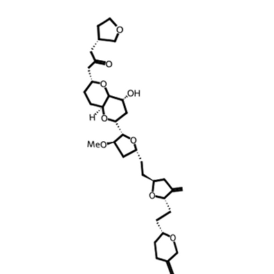 C=C1CC[C@H](CC[C@@H]2O[C@@H](CC[C@@H]3C[C@@H](OC)[C@H](C4C[C@@H](O)C5O[C@@H](CC(=O)C[C@@H]6CCOC6)CC[C@@H]5O4)O3)CC2=C)OC1